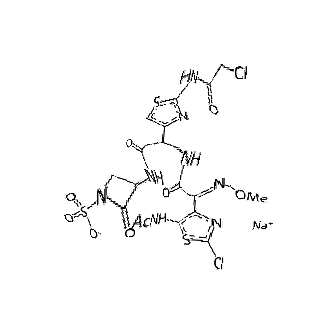 CON=C(C(=O)NC(C(=O)NC1CN(S(=O)(=O)[O-])C1=O)c1csc(NC(=O)CCl)n1)c1nc(Cl)sc1NC(C)=O.[Na+]